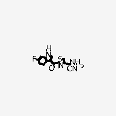 N#CC(N)c1csc(C(=O)c2c[nH]c3cc(F)ccc23)n1